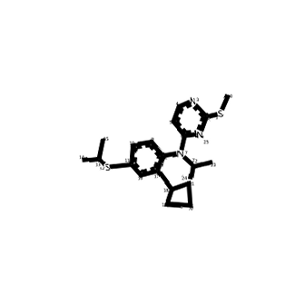 CSc1nccc(N(c2ccc(SC(C)C)cc2C2CCC2)C(C)C)n1